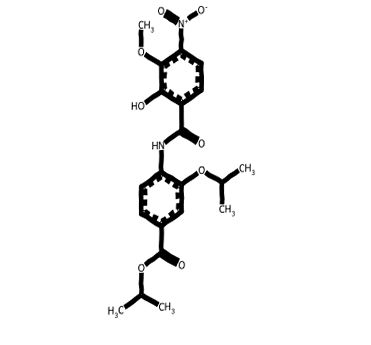 COc1c([N+](=O)[O-])ccc(C(=O)Nc2ccc(C(=O)OC(C)C)cc2OC(C)C)c1O